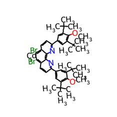 COc1c(C(C)(C)C)cc(-c2ccc3ccc4ccc(-c5cc(C(C)(C)C)c(OC)c(C(C)(C)C)c5)nc4c3n2)cc1C(C)(C)C.[Br][Co][Br]